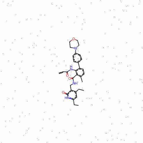 C=CC(=O)Nc1c(-c2ccc(N3CCOCC3)cc2)ccc(C)c1C(=O)NCc1c(CC)cc(CC)[nH]c1=O